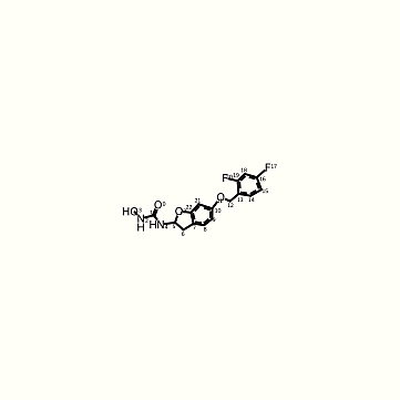 O=C(NO)NC1Cc2ccc(OCc3ccc(F)cc3F)cc2O1